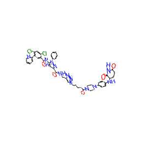 O=C1CCC(Nc2ccc(N3CCN(C(=O)CCCCn4cc(CNC(=O)c5cc(NC(=O)c6cc(-c7ccccn7)c(Cl)cc6Cl)n(-c6ccccc6)n5)nn4)CC3)cc2)C(=O)N1